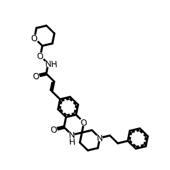 O=C(/C=C/c1ccc2c(c1)C(=O)NC1(CCCN(CCc3ccccc3)C1)O2)NOC1CCCCO1